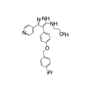 [3H]OCCNc1[nH]nc(-c2ccncc2)c1-c1ccc(OCc2ccc(C(C)C)cc2)cc1